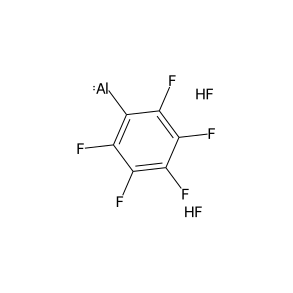 F.F.Fc1c(F)c(F)[c]([Al])c(F)c1F